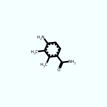 Cc1c(N)ccc(C(N)=O)c1C